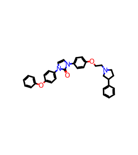 O=c1n(-c2ccc(OCCN3CCC(c4ccccc4)C3)cc2)ccn1-c1ccc(Oc2ccccc2)cc1